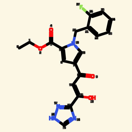 CCOC(=O)c1cc(C(=O)C=C(O)c2nc[nH]n2)cn1Cc1ccccc1F